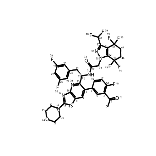 CC(=O)c1cc(-c2cc3sc(N4CCOCC4)nc3nc2[C@@H](Cc2cc(F)cc(F)c2)NC(=O)Cn2nc(C(F)F)c3c2C(F)(F)CCC3(F)F)ccc1F